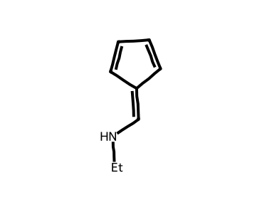 CCNC=C1C=CC=C1